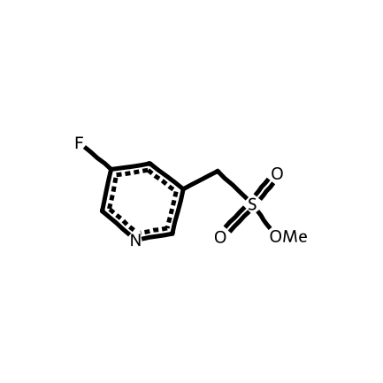 COS(=O)(=O)Cc1cncc(F)c1